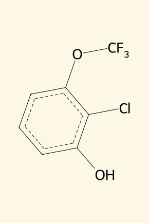 Oc1cccc(OC(F)(F)F)c1Cl